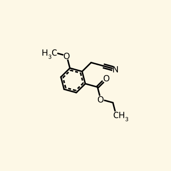 CCOC(=O)c1cccc(OC)c1CC#N